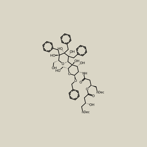 CCCCCCCCCCC[C@@H](O)CC(=O)O[C@H](CCCCCCCCCCC)CC(=O)N[C@@H]1[C@@H](OCc2ccccc2)O[C@H](CO)[C@](O)([C@@H]2O[C@H](CO)[C@](O)(Cc3ccccc3)[C@@](O)(Cc3ccccc3)[C@@]2(O)Cc2ccccc2)[C@@H]1O